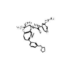 Cc1cncc(NC(=O)N2CC(C)(C)Oc3ccc(-c4cccc(CN5CCCC5)c4)nc32)c1